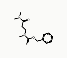 CN(C)C(=O)CCN(C)C(=O)OCc1ccccc1